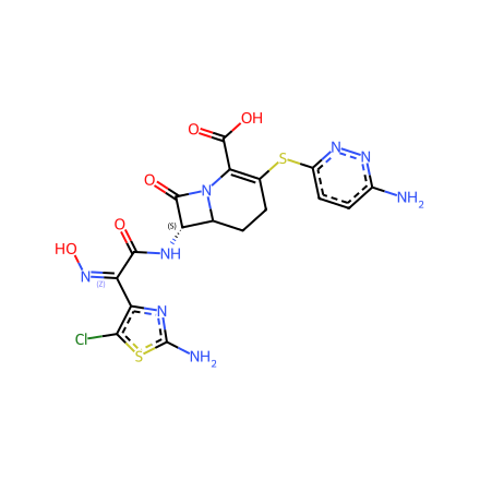 Nc1ccc(SC2=C(C(=O)O)N3C(=O)[C@@H](NC(=O)/C(=N\O)c4nc(N)sc4Cl)C3CC2)nn1